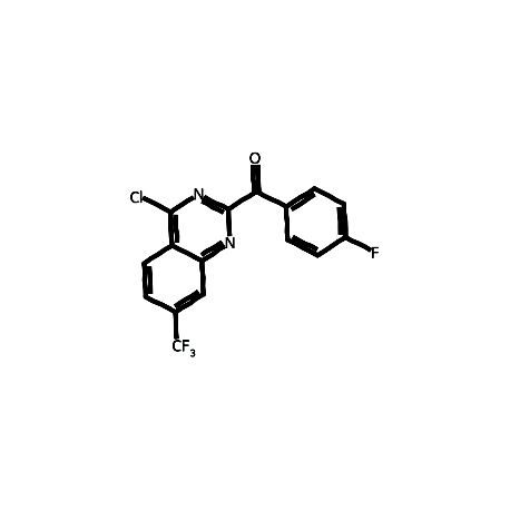 O=C(c1ccc(F)cc1)c1nc(Cl)c2ccc(C(F)(F)F)cc2n1